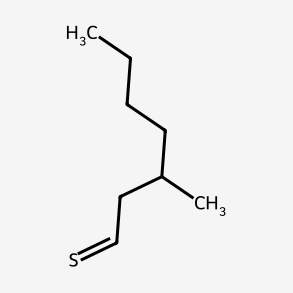 CCCCC(C)CC=S